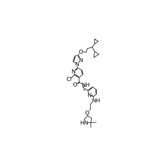 CC1(C)CC(OCCNc2cccc(SNC(=O)c3ccc(-n4ccc(OCCC(C5CC5)C5CC5)n4)nc3Cl)n2)CN1